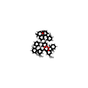 CC(C)(C)c1ccc(N2c3cc(N4c5ccc(C(C)(C)C)cc5C5(C)CCCCC45C)cc4c3B(c3cc5c(cc3N4c3cccc4oc6ccccc6c34)C(C)(C)CCC5(C)C)c3ccc4oc5ccc(C(C)(C)C)cc5c4c32)c(-c2ccccc2)c1